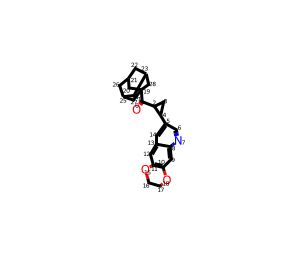 O=C(C1CC1c1cnc2cc3c(cc2c1)OCCO3)C12CC3CC(CC(C3)C1)C2